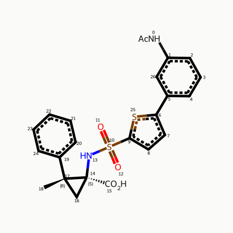 CC(=O)Nc1cccc(-c2ccc(S(=O)(=O)N[C@@]3(C(=O)O)C[C@]3(C)c3ccccc3)s2)c1